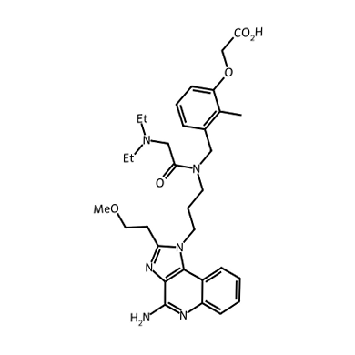 CCN(CC)CC(=O)N(CCCn1c(CCOC)nc2c(N)nc3ccccc3c21)Cc1cccc(OCC(=O)O)c1C